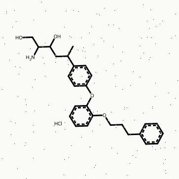 CC(CC(O)C(N)CO)c1ccc(Oc2ccccc2OCCCc2ccccc2)cc1.Cl